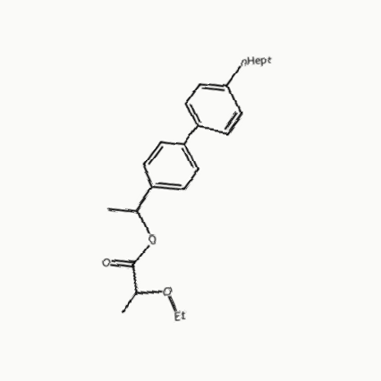 CCCCCCCc1ccc(-c2ccc(C(C)OC(=O)C(C)OCC)cc2)cc1